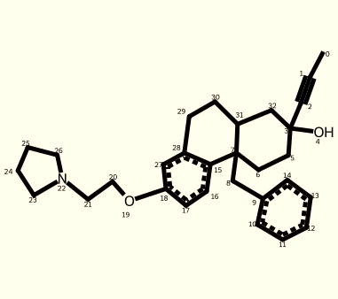 CC#CC1(O)CCC2(Cc3ccccc3)c3ccc(OCCN4CCCC4)cc3CCC2C1